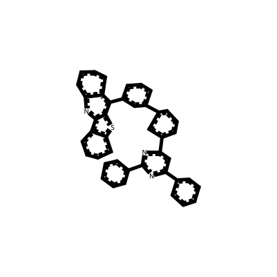 c1ccc(-c2cc(-c3cccc(-c4cccc(-c5c6ccccc6nc6c5sc5ccccc56)c4)c3)nc(-c3ccccc3)n2)cc1